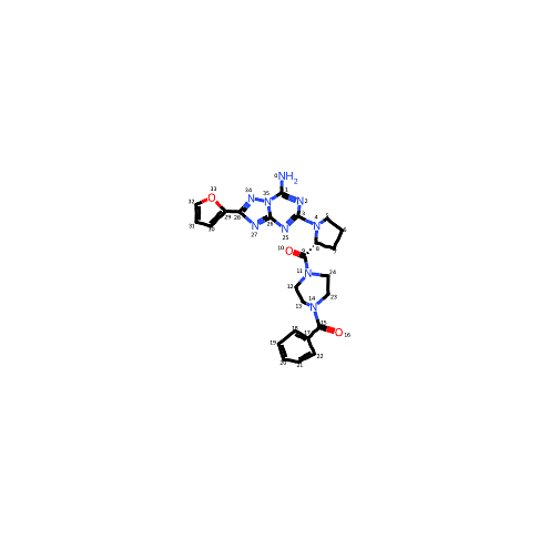 Nc1nc(N2CCC[C@@H]2C(=O)N2CCN(C(=O)c3ccccc3)CC2)nc2nc(-c3ccco3)nn12